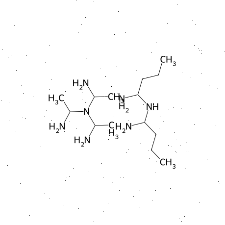 CC(N)N(C(C)N)C(C)N.CCCC(N)NC(N)CCC